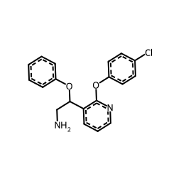 NCC(Oc1ccccc1)c1cccnc1Oc1ccc(Cl)cc1